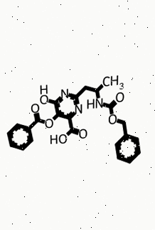 CC(Cc1nc(O)c(OC(=O)c2ccccc2)c(C(=O)O)n1)NC(=O)OCc1ccccc1